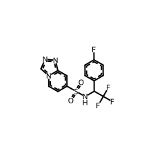 O=S(=O)(NC(c1ccc(F)cc1)C(F)(F)F)c1ccn2cnnc2c1